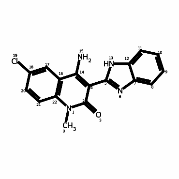 Cn1c(=O)c(-c2nc3ccccc3[nH]2)c(N)c2cc(Cl)ccc21